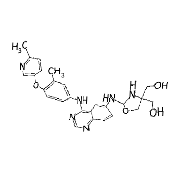 Cc1ccc(Oc2ccc(Nc3ncnc4ccc(NC5NC(CO)(CO)CO5)cc34)cc2C)cn1